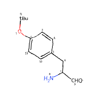 CC(C)(C)Oc1ccc(CC(N)[C]=O)cc1